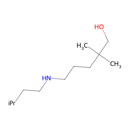 CC(C)CCNCCCC(C)(C)CO